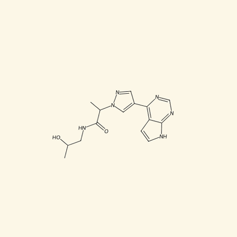 CC(O)CNC(=O)C(C)n1cc(-c2ncnc3[nH]ccc23)cn1